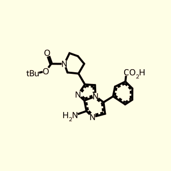 CC(C)(C)OC(=O)N1CCCC(c2cn3c(-c4cccc(C(=O)O)c4)cnc(N)c3n2)C1